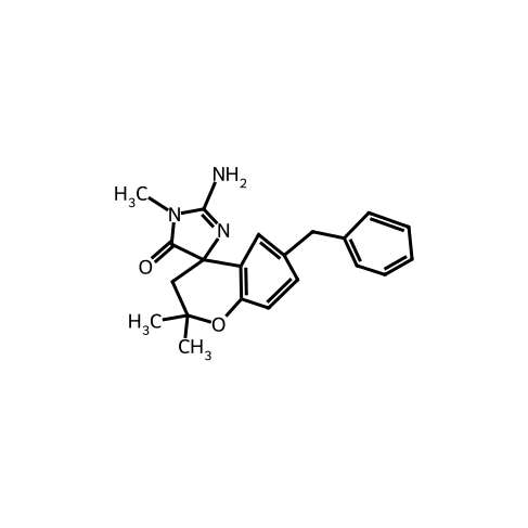 CN1C(=O)C2(CC(C)(C)Oc3ccc(Cc4ccccc4)cc32)N=C1N